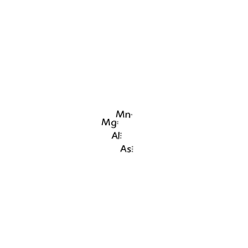 [Al].[As].[Mg].[Mn]